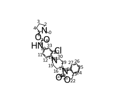 CN1CCC[C@@H]1OC(=O)Nc1ccc(N2CCC(N3C(=O)OCc4ccccc43)CC2)c(Cl)c1